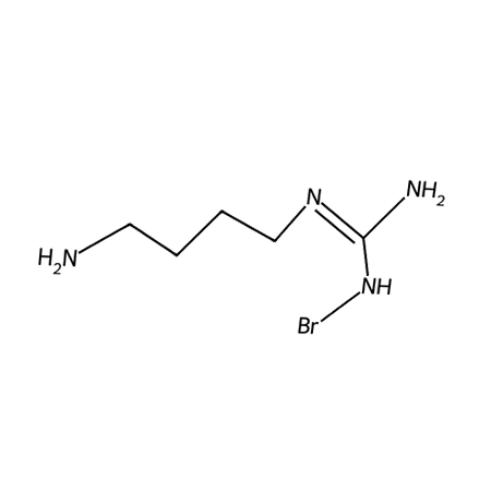 NCCCC/N=C(/N)NBr